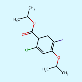 CC(C)OC(=O)C1CC(I)=C(OC(C)C)C=C1Cl